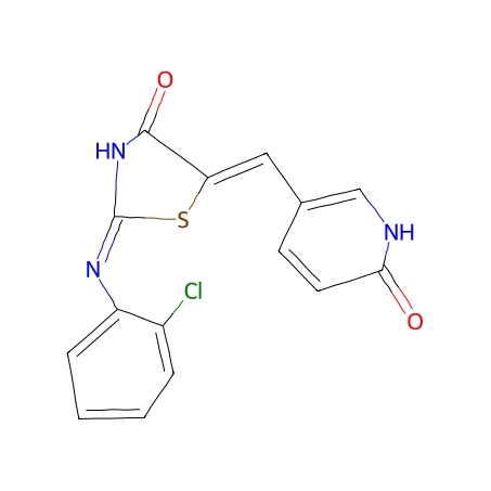 O=C1NC(=Nc2ccccc2Cl)SC1=Cc1ccc(=O)[nH]c1